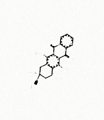 C#C[C@]1(O)Cc2c(O)c3c(c(O)c2[C@H](OC(C)=O)C1)C(=O)c1ccccc1C3=O